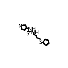 S=C(NCCCCSc1ccccc1)Nc1ccncc1